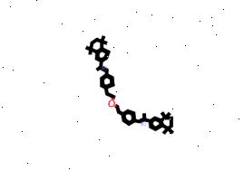 C/C(=C\c1ccc(CCOCCc2ccc(/C=C(\C)c3ccc4c(c3)C(C)(C)CCC4(C)C)cc2)cc1)c1ccc2c(c1)C(C)(C)CCC2(C)C